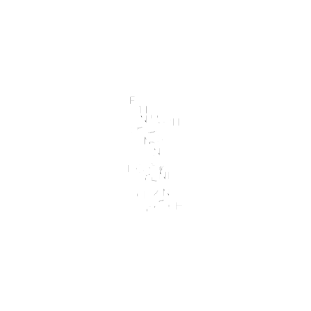 CO[C@H]1CN(c2nc(C(=O)NCCF)c(C(=O)O)s2)CC[C@H]1NC(=O)c1[nH]c(C)c(Cl)c1Cl